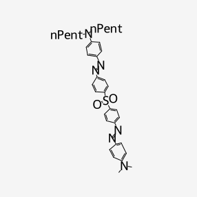 CCCCCN(CCCCC)c1ccc(N=Nc2ccc(S(=O)(=O)c3ccc(N=Nc4ccc(N(C)C)cc4)cc3)cc2)cc1